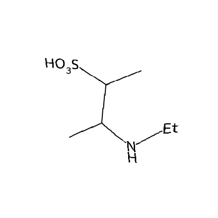 CCNC(C)C(C)S(=O)(=O)O